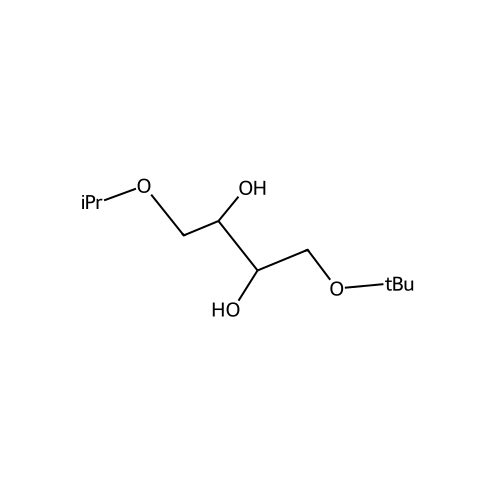 CC(C)OCC(O)C(O)COC(C)(C)C